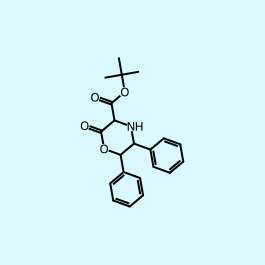 CC(C)(C)OC(=O)C1NC(c2ccccc2)C(c2ccccc2)OC1=O